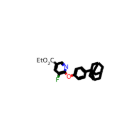 CCOC(=O)c1cnc(Oc2ccc(C34CC5CC(CC(C5)C3)C4)cc2)c(F)c1